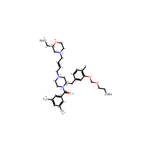 COCCOCOc1cc(C[C@@H]2CN(C/C=C/CN3CCO[C@H](COC)C3)CCN2C(=O)c2cc(C(F)(F)F)cc(C(F)(F)F)c2)ccc1C